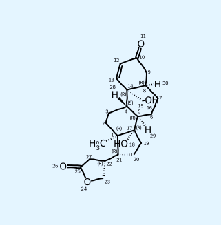 C[C@]12CC[C@H]3[C@@H](CC[C@@H]4CC(=O)C=C[C@@]43CO)[C@@]1(O)CC[C@@H]2[C@@H]1COC(=O)C1